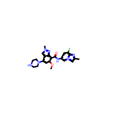 COc1cc(N2CCNCC2)c2cn(C)nc2c1C(=O)Nc1cc(F)c2nc(C)cn2c1